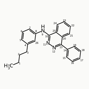 CCCCc1cccc(Nc2nnc(-c3ccccc3)c3ccccc23)c1